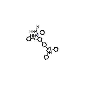 N#CC(=N)/C(=C1\NC(c2ccccc2)=Cc2cc(-c3ccc(-c4cc(-c5ccccc5)nc(-c5ccccc5)n4)cc3)ccc21)c1ccccc1